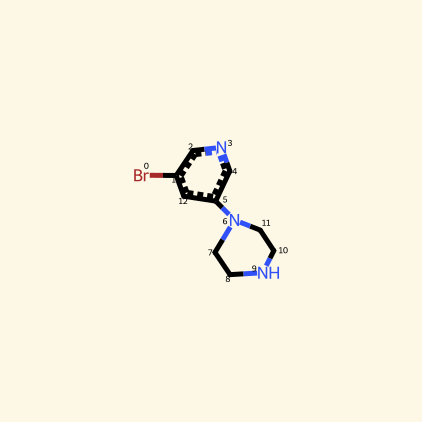 Brc1cncc(N2CCNCC2)c1